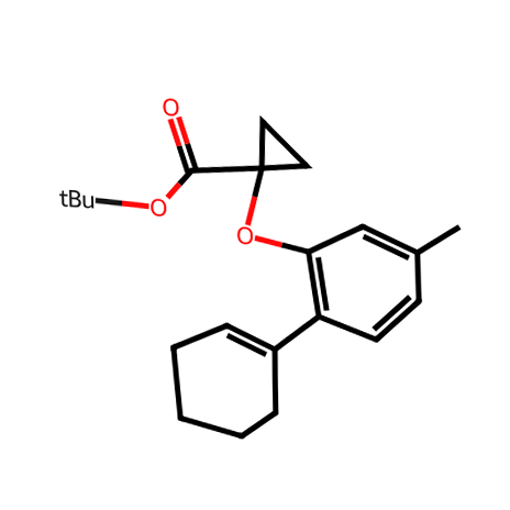 Cc1ccc(C2=CCCCC2)c(OC2(C(=O)OC(C)(C)C)CC2)c1